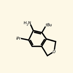 CC(C)c1cc2c(c(C(C)(C)C)c1N)COC2